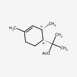 CC(=O)OC(C)(C)[C@@H]1CCC(C)=C[C@@H]1C